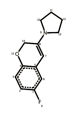 Fc1ccc2c(c1)C=C(N1CCCC1)CO2